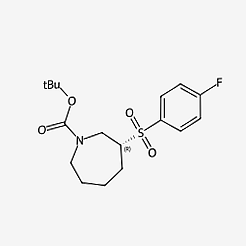 CC(C)(C)OC(=O)N1CCCC[C@@H](S(=O)(=O)c2ccc(F)cc2)C1